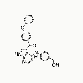 O=C(c1ccc(Oc2ccccc2)cc1)c1c[nH]c2nccc(Nc3ccc(CO)cc3)c12